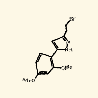 COc1ccc(-c2cc(CBr)n[nH]2)c(OC)c1